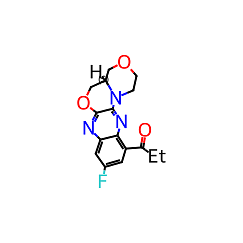 CCC(=O)c1cc(F)cc2nc3c(nc12)N1CCOC[C@H]1CO3